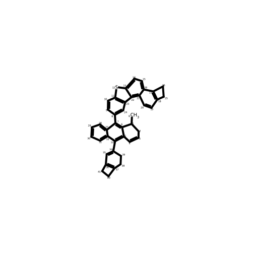 CC1CC=Cc2c1c(-c1ccc3sc4ccc5c6c(ccc5c4c3c1)CC6)c1ccccc1c2C1=CC2=C(CC1)CC2